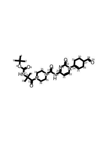 CC(C)(C)OC(=O)NC(C)(C)C(=O)N1CCN(C(=O)Nc2ccn(C3=CCC(C=O)CC3)c(=O)n2)CC1